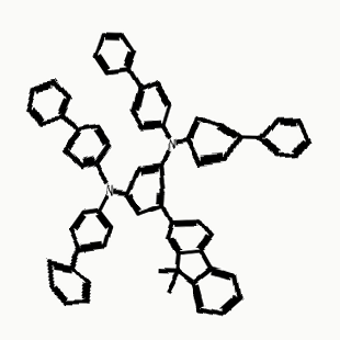 CC1(C)c2ccccc2-c2ccc(-c3cc(N(c4ccc(-c5ccccc5)cc4)c4ccc(-c5ccccc5)cc4)cc(N(c4ccc(-c5ccccc5)cc4)c4ccc(-c5ccccc5)cc4)c3)cc21